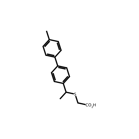 Cc1ccc(-c2ccc(C(C)SCC(=O)O)cc2)cc1